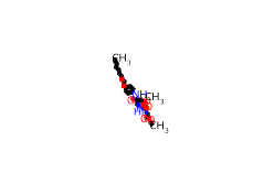 CCCCCCCCCCc1ccc(NC(=O)c2cnc(C(=O)NCC(=O)OCC)c(OC)c2)cc1